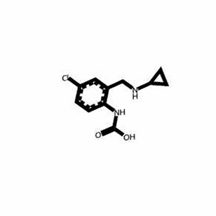 O=C(O)Nc1ccc(Cl)cc1CNC1CC1